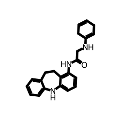 O=C(CNC1=CCC=CC1)Nc1cccc2c1CCc1ccccc1N2